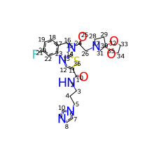 O=C(NCCCn1ccnc1)c1cnc(N(Cc2ccc(F)cc2)C(=O)CN2CCC3(C2)OCCO3)s1